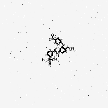 CCc1ccc(NC(=O)c2cccc(C(C)(C)C#N)c2)cc1Oc1ccc([N+](=O)[O-])cn1